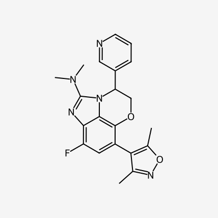 Cc1noc(C)c1-c1cc(F)c2nc(N(C)C)n3c2c1OCC3c1cccnc1